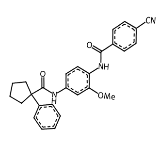 COc1cc(NC(=O)C2(c3ccccc3)CCCC2)ccc1NC(=O)c1ccc(C#N)cc1